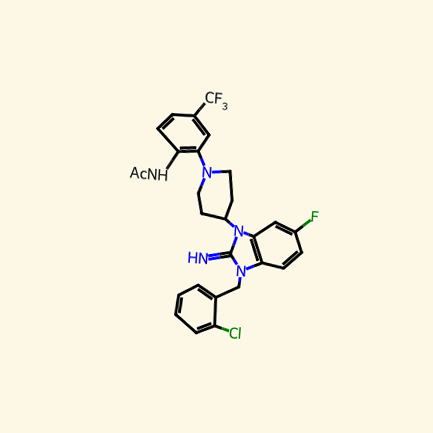 CC(=O)Nc1ccc(C(F)(F)F)cc1N1CCC(n2c(=N)n(Cc3ccccc3Cl)c3ccc(F)cc32)CC1